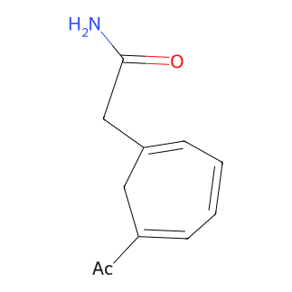 CC(=O)C1=CC=CC=C(CC(N)=O)C1